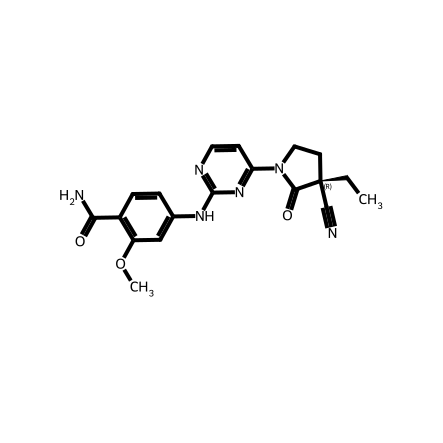 CC[C@]1(C#N)CCN(c2ccnc(Nc3ccc(C(N)=O)c(OC)c3)n2)C1=O